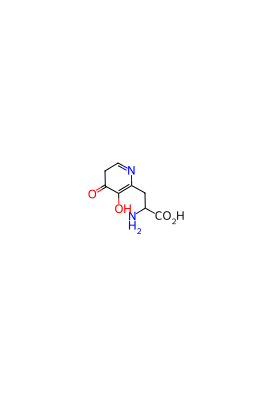 NC(CC1=C(O)C(=O)CC=N1)C(=O)O